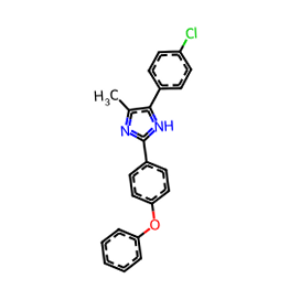 Cc1nc(-c2ccc(Oc3ccccc3)cc2)[nH]c1-c1ccc(Cl)cc1